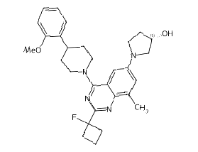 COc1ccccc1C1CCN(c2nc(C3(F)CCC3)nc3c(C)cc(N4CC[C@H](O)C4)cc23)CC1